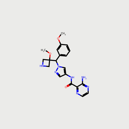 COc1cccc(C(n2cc(NC(=O)c3nccnc3N)cn2)C2(OC)CNC2)c1